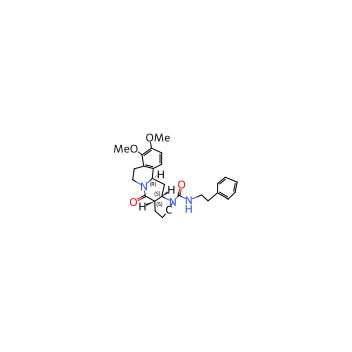 COc1ccc2c(c1OC)CCN1C(=O)[C@H]3CCCN(C(=O)NCCc4ccccc4)[C@H]3C[C@H]21